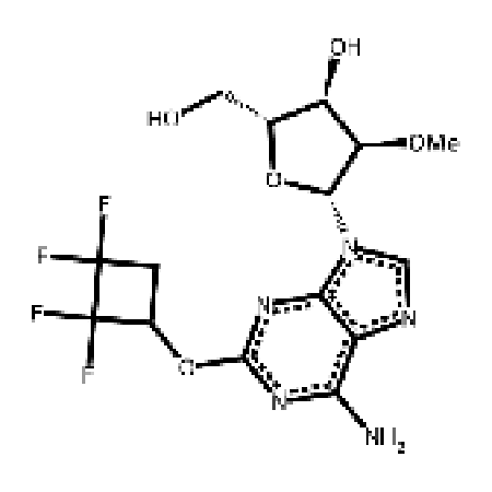 CO[C@@H]1[C@H](O)[C@@H](CO)O[C@H]1n1cnc2c(N)nc(OC3CC(F)(F)C3(F)F)nc21